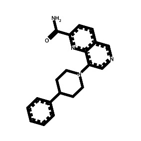 NC(=O)c1ccc2cncc(N3CCC(c4ccccc4)CC3)c2n1